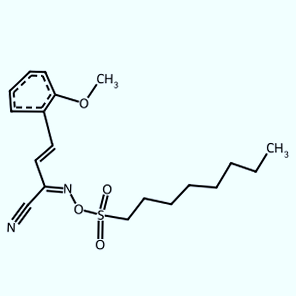 CCCCCCCCS(=O)(=O)ON=C(C#N)C=Cc1ccccc1OC